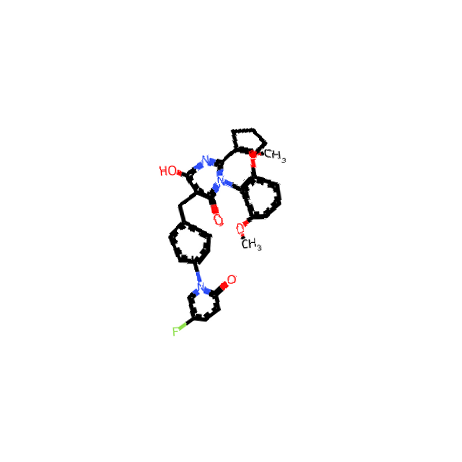 COc1cccc(OC)c1-n1c(C2=CCCC2)nc(O)c(Cc2ccc(-n3cc(F)ccc3=O)cc2)c1=O